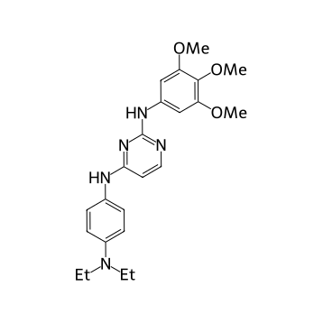 CCN(CC)c1ccc(Nc2ccnc(Nc3cc(OC)c(OC)c(OC)c3)n2)cc1